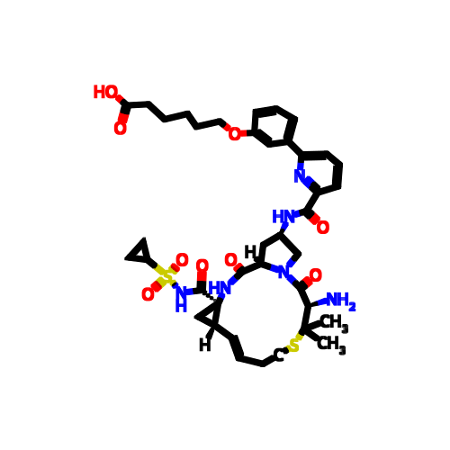 CC1(C)SCC/C=C/[C@@H]2C[C@@]2(C(=O)NS(=O)(=O)C2CC2)NC(=O)[C@@H]2C[C@@H](NC(=O)c3cccc(-c4cccc(OCCCCCC(=O)O)c4)n3)CN2C(=O)[C@H]1N